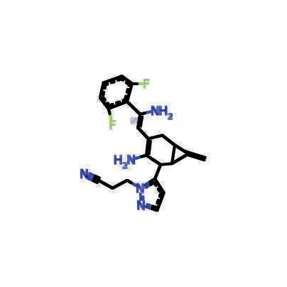 C=C1C2CC(/C=C(\N)c3c(F)cccc3F)=C(N)C(c3ccnn3CCC#N)C12